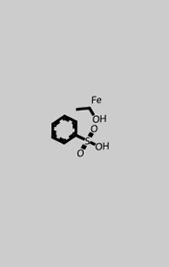 CCO.O=S(=O)(O)c1ccccc1.[Fe]